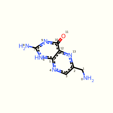 NCc1cnc2[nH]c(N)nc(=O)c2n1